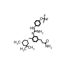 C[C@@H]1C[C@H](Cc2ccc(CCC(N)=O)cc2/N=C(\N)Nc2ccc(OC(F)(F)F)cc2)CC(C)(C)C1